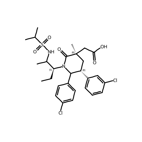 CC[C@@H](C(C)NS(=O)(=O)C(C)C)N1C(=O)[C@@](C)(CC(=O)O)C[C@H](c2cccc(Cl)c2)C1c1ccc(Cl)cc1